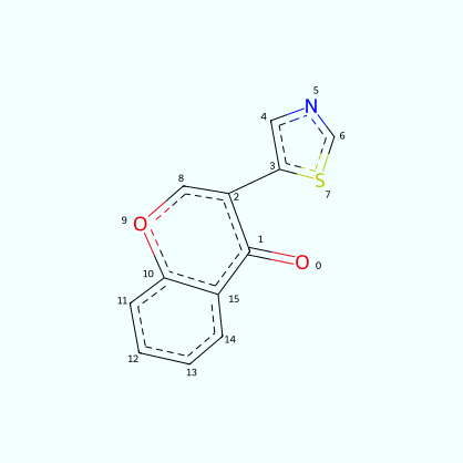 O=c1c(-c2cncs2)coc2ccccc12